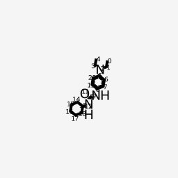 CCN(CC)c1ccc(NC(=O)NC2CCCCC2)cc1